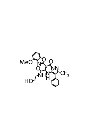 COc1cccc2oc(-c3c(C(=O)NCCO)[nH]c4c(-c5ccccc5)c(C(F)(F)F)nn4c3=O)nc12